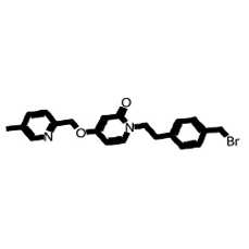 Cc1ccc(COc2ccn(CCc3ccc(CBr)cc3)c(=O)c2)nc1